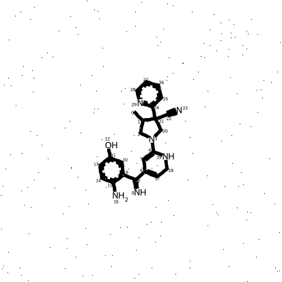 CC1CN(C2=CC(C(=N)c3cc(O)ccc3N)=CCN2)CC1(C#N)c1ccccn1